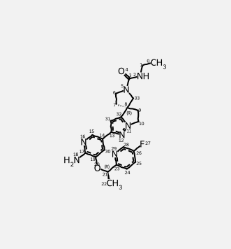 CCNC(=O)N1CC[C@@]2(CCn3nc(-c4cnc(N)c(O[C@H](C)c5ccc(F)cn5)c4)cc32)C1